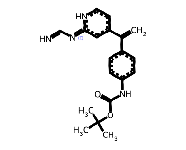 C=C(c1ccc(NC(=O)OC(C)(C)C)cc1)c1cc[nH]/c(=N\C=N)c1